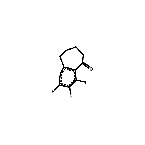 O=C1CCCCc2cc(F)c(F)c(F)c21